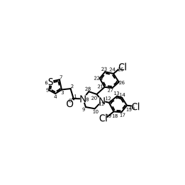 O=C(Cc1ccsc1)N1CCN(c2ccc(Cl)cc2Cl)C(c2ccc(Cl)cc2)C1